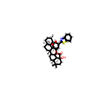 C[C@@H]1[C@H]2[C@H]3CC[C@@H]4[C@]5(C)[C@@H](CC[C@@]4(C)[C@]3(C)CC[C@@]2(C)CC[C@H]1C)C(C)(C)CCC5(O)C(=O)Oc1cccc(-c2nc3ccccc3s2)c1